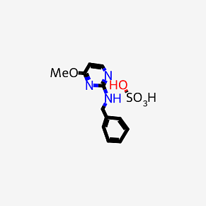 COc1ccnc(NCc2ccccc2)n1.O=S(=O)(O)O